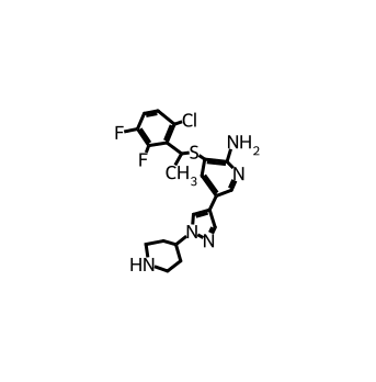 CC(Sc1cc(-c2cnn(C3CCNCC3)c2)cnc1N)c1c(Cl)ccc(F)c1F